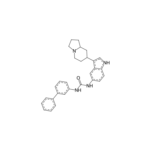 O=C(Nc1cccc(-c2ccccc2)c1)Nc1ccc2[nH]cc(C3CCN4CCCC4C3)c2c1